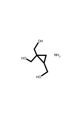 N.OCC1CC1(CO)CO